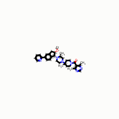 CCO[C@@H]1Cc2cc(-c3ccccn3)ccc2[C@H]1N1CCN(C2(C)CCN(C(=O)c3c(C)ncnc3C)CC2)C[C@@H]1C